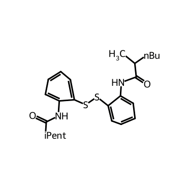 CCCCC(C)C(=O)Nc1ccccc1SSc1ccccc1NC(=O)C(C)CCC